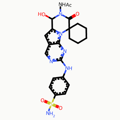 CC(=O)NN1C(=O)C2(CCCCC2)n2c(cc3cnc(Nc4ccc(S(N)(=O)=O)cc4)nc32)C1O